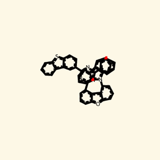 c1ccc(-c2nc(-c3ccc4sc5ccccc5c4c3)nc(-c3cccc4oc5cccc(-n6c7ccccc7c7ccccc76)c5c34)n2)cc1